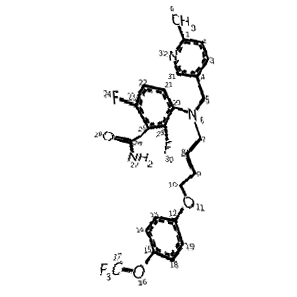 Cc1ccc(CN(CCCCOc2ccc(OC(F)(F)F)cc2)c2ccc(F)c(C(N)=O)c2F)cn1